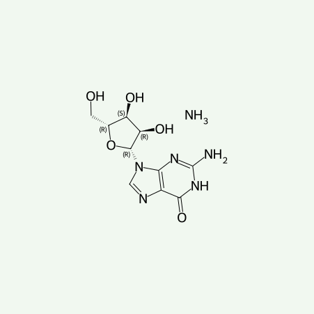 N.Nc1nc2c(ncn2[C@@H]2O[C@H](CO)[C@@H](O)[C@H]2O)c(=O)[nH]1